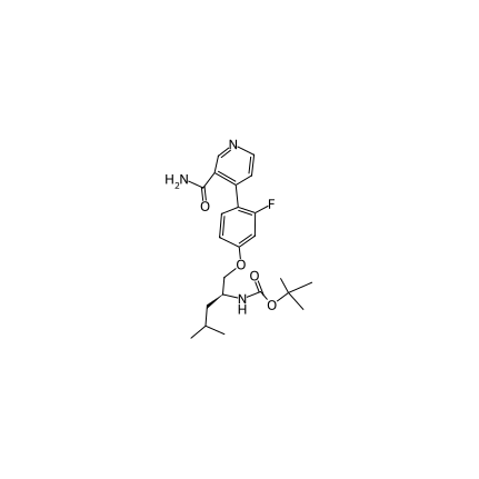 CC(C)C[C@@H](COc1ccc(-c2ccncc2C(N)=O)c(F)c1)NC(=O)OC(C)(C)C